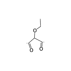 CCOC([C]=O)[C]=O